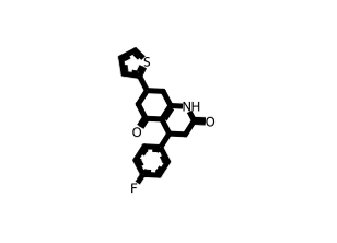 O=C1CC(c2ccc(F)cc2)C2=C(CC(c3cccs3)CC2=O)N1